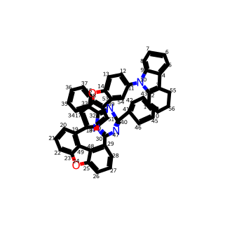 C1=Cc2c(c3ccccc3n2-c2ccc3oc4cc(-c5cccc6oc7cccc(-c8nc(-c9ccccc9)nc(-c9ccccc9)n8)c7c56)ccc4c3c2)CC1